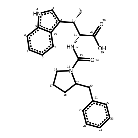 C[C@@H](c1c[nH]c2ccccc12)[C@@H](NC(=O)N1CCCC1Cc1ccccc1)C(=O)O